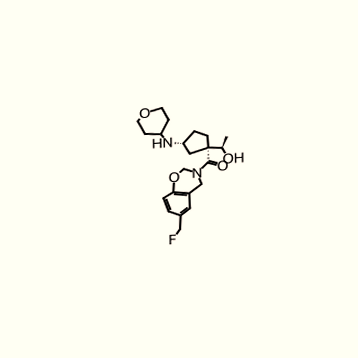 C[C@@H](O)[C@]1(C(=O)N2COc3ccc(CF)cc3C2)CC[C@@H](NC2CCOCC2)C1